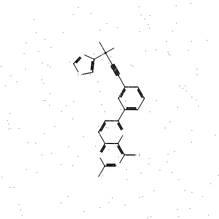 Cc1nc(N)c2nc(-c3cccc(C#CC(C)(O)c4c[nH]cn4)c3)ccc2n1